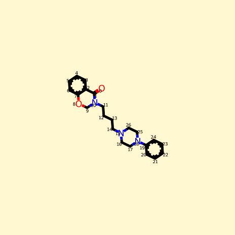 O=C1c2ccccc2OCN1CCCCN1CCN(c2ccccc2)CC1